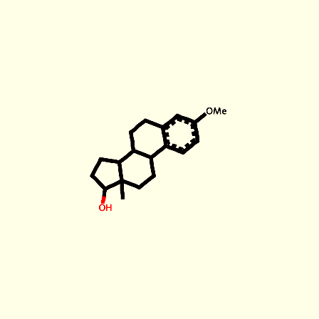 COc1ccc2c(c1)CCC1C2CCC2(C)C(O)CCC12